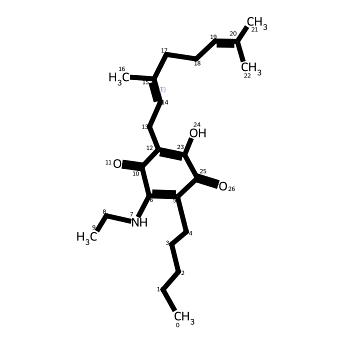 CCCCCC1=C(NCC)C(=O)C(C/C=C(\C)CCC=C(C)C)=C(O)C1=O